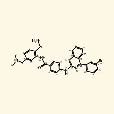 CN(C)Cc1ccc(CN)c(NC(=O)c2ccc(Nc3nc(-c4cccc(Br)c4)c4ccccc4n3)cc2)c1